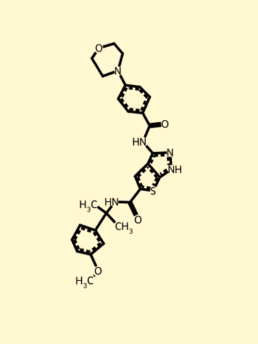 COc1cccc(C(C)(C)NC(=O)c2cc3c(NC(=O)c4ccc(N5CCOCC5)cc4)n[nH]c3s2)c1